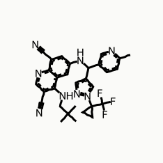 Cc1ccc(C(Nc2cc(C#N)c3ncc(C#N)c(NCC(C)(C)C)c3c2)c2cnn(C3(C(F)(F)F)CC3)c2)cn1